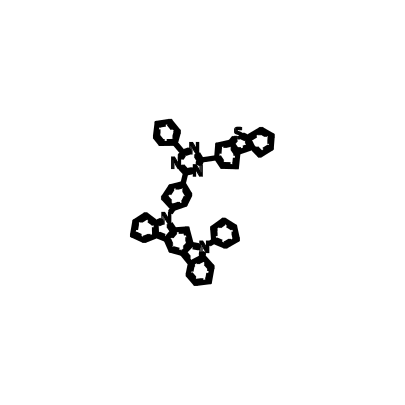 c1ccc(-c2nc(-c3ccc(-n4c5ccccc5c5cc6c7ccccc7n(-c7ccccc7)c6cc54)cc3)nc(-c3ccc4c(c3)sc3ccccc34)n2)cc1